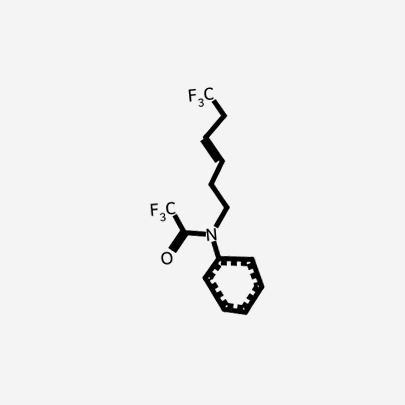 O=C(N(CC/C=C/CC(F)(F)F)c1ccccc1)C(F)(F)F